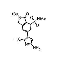 CNS(=O)(=O)c1cc(-c2sc(N)nc2C)cc2c1C(=O)N(C(C)(C)C)C2